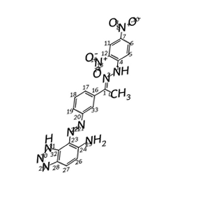 C/C(=N\Nc1ccc([N+](=O)[O-])cc1[N+](=O)[O-])c1cccc(/N=N/c2c(N)ccc3nn[nH]c23)c1